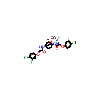 O=C(COc1ccc(Cl)c(F)c1)NC12CCC(NC(=O)COc3ccc(Cl)c(F)c3)(CC1)[C@@H](OC(=O)O)C2